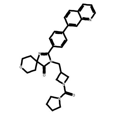 O=C(N1CCCC1)N1CC(CN2C(=O)C3(CCOCC3)N=C2c2ccc(-c3ccc4cccnc4c3)cc2)C1